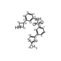 Cc1nc(-c2cccc(S(=O)(=O)Nc3cccc(C4CNC4)c3)c2)cs1